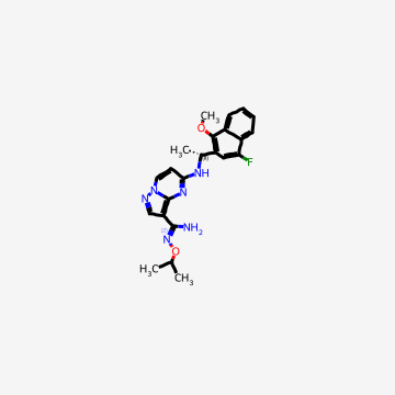 COc1c([C@@H](C)Nc2ccn3ncc(/C(N)=N/OC(C)C)c3n2)cc(F)c2ccccc12